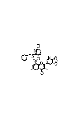 Cc1cc([C@@H](C)Oc2ccc(Cl)nc2SCc2ccccc2)c2oc(-c3cnc4c(c3)OCO4)c(C)c(=O)c2c1